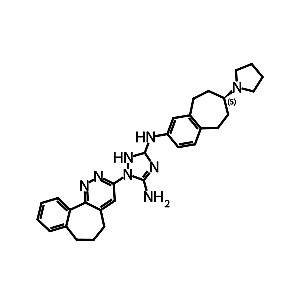 NC1=NC(Nc2ccc3c(c2)CC[C@@H](N2CCCC2)CC3)NN1c1cc2c(nn1)-c1ccccc1CCC2